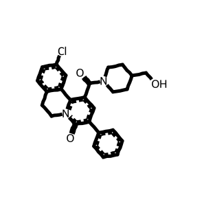 O=C(c1cc(-c2ccccc2)c(=O)n2c1-c1cc(Cl)ccc1CC2)N1CCC(CO)CC1